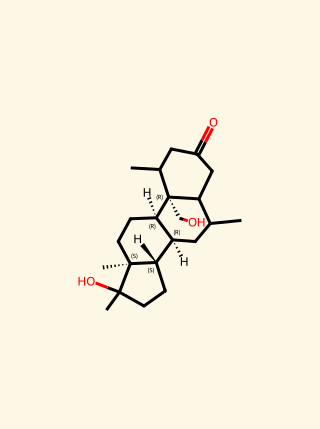 CC1C[C@@H]2[C@@H](CC[C@@]3(C)[C@H]2CCC3(C)O)[C@@]2(CO)C(C)CC(=O)CC12